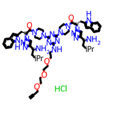 C#CCOCCOCCOCCNc1nc(N2CCN(C(=O)[C@H](Cc3cc4ccccc4[nH]3)n3cc([C@@H](N)CC(C)C)nn3)CC2)nc(N2CCN(C(=O)[C@H](Cc3cc4ccccc4[nH]3)n3cc([C@@H](N)CC(C)C)nn3)CC2)n1.Cl